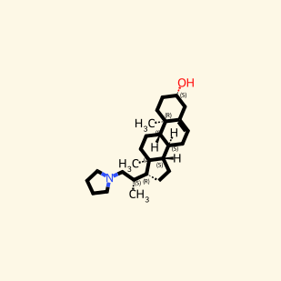 C[C@H](CN1CCCC1)[C@H]1CC[C@H]2[C@@H]3CC=C4C[C@@H](O)CC[C@]4(C)[C@H]3CC[C@]12C